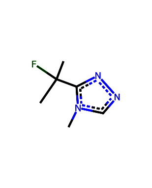 Cn1cnnc1C(C)(C)F